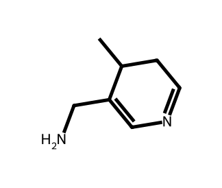 CC1CC=NC=C1CN